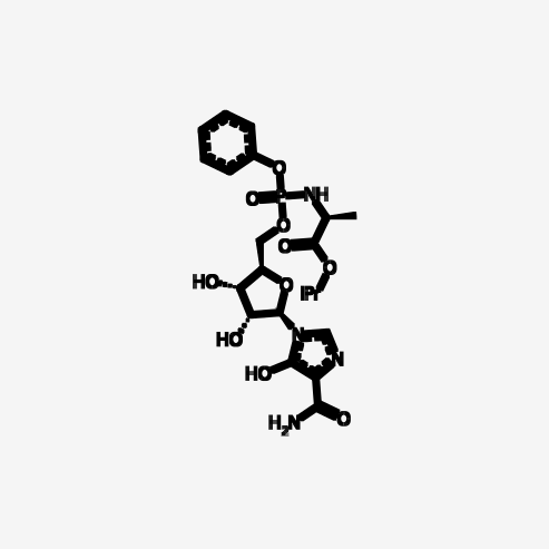 CC(C)OC(=O)[C@H](C)NP(=O)(OC[C@H]1O[C@@H](n2cnc(C(N)=O)c2O)[C@H](O)[C@@H]1O)Oc1ccccc1